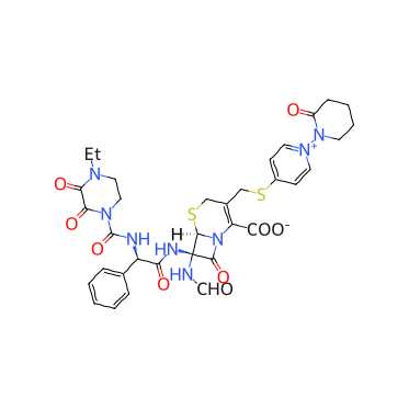 CCN1CCN(C(=O)N[C@@H](C(=O)N[C@]2(NC=O)C(=O)N3C(C(=O)[O-])=C(CSc4cc[n+](N5CCCCC5=O)cc4)CS[C@@H]32)c2ccccc2)C(=O)C1=O